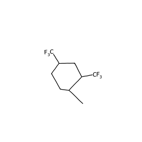 CC1CCC(C(F)(F)F)CC1C(F)(F)F